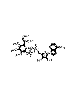 CC(=O)OC[C@@H](OC(C)=O)C1O[C@@H](OP(=O)(O)OP(O)(=S)OC[C@H]2O[C@@H](n3cnc4c(N)ncnc43)C(O)C2O)C(OC(C)=O)C(OC(C)=O)[C@@H]1OC(C)=O